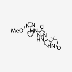 COCCn1ccnc1-c1ccccc1Nc1nc(Nc2ccc3c(c2)C(C)(C)CCC(=O)N3)ncc1Cl